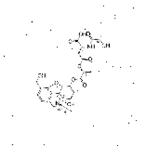 C[C@H](O)C(=O)N[C@@H](CC(=O)O[C@@H](C)C(=O)OC1=CC[C@@]2(O)[C@H]3Cc4ccc(CO)c5c4C2(CCN3C)C1O5)C(=O)O